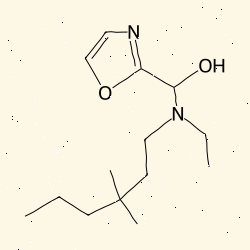 CCCC(C)(C)CCN(CC)C(O)c1ncco1